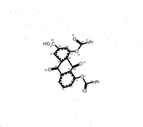 CCCC(=O)Oc1cccc2c1C(=O)c1c(OC(=O)CCC)cc(C(=O)O)cc1C2=O